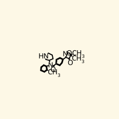 Cc1ccccc1N(C(=O)c1ccc(C2=NOC(C)(C)C2=O)cc1)C1CCCNC1